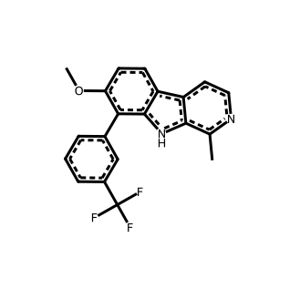 COc1ccc2c([nH]c3c(C)nccc32)c1-c1cccc(C(F)(F)F)c1